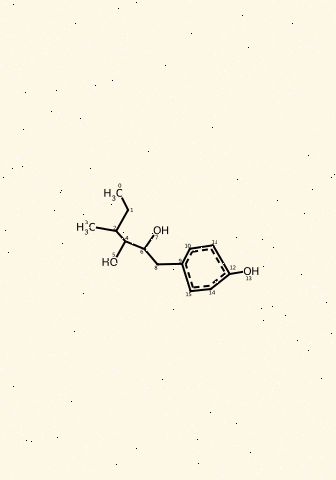 CCC(C)C(O)C(O)Cc1ccc(O)cc1